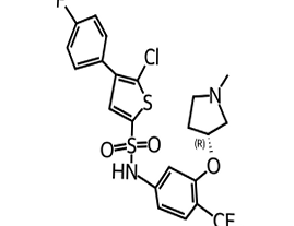 CN1CC[C@@H](Oc2cc(NS(=O)(=O)c3cc(-c4ccc(F)cc4)c(Cl)s3)ccc2C(F)(F)F)C1